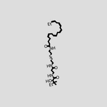 CC/C=C\C/C=C\C/C=C\C/C=C\C/C=C\CCCC(=O)NCCSSCCNC(=O)CCNC(=O)[C@H](O)C(C)(C)CC